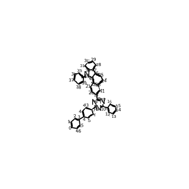 c1ccc(-c2ccc(-c3nc(-c4ccccc4)nc(-c4ccc5c(ccc6c7ccccc7n(-c7ccccc7)c56)c4)n3)cc2)cc1